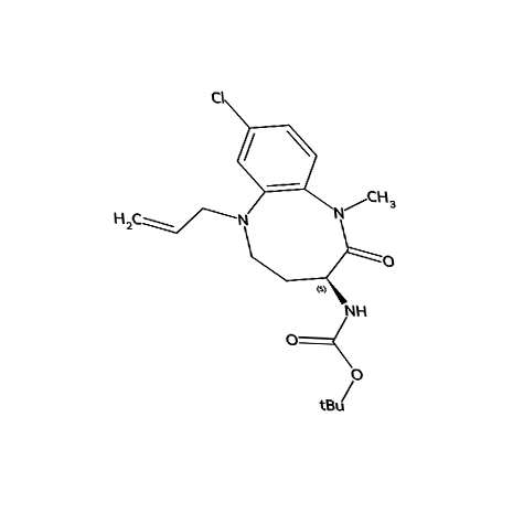 C=CCN1CC[C@H](NC(=O)OC(C)(C)C)C(=O)N(C)c2ccc(Cl)cc21